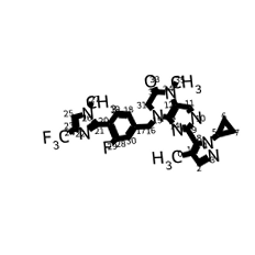 Cc1cnn(C2CC2)c1-c1ncc2c(n1)N(Cc1ccc(-c3nc(C(F)(F)F)cn3C)c(F)c1)CC(=O)N2C